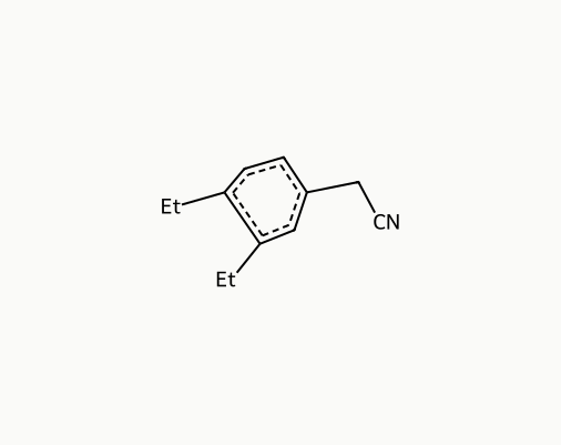 CCc1ccc(CC#N)cc1CC